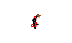 CCOC(=O)/C(=C/c1ccc(OCCBr)cc1)OCC